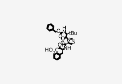 CC(C)(C)[C@H](NC(=O)OCc1ccccc1)C(=O)N1CSC[C@H]1C(=O)N[C@@H](Cc1ccccc1)C(O)C(=O)O